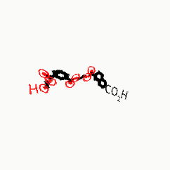 O=C(O)c1ccc2cc(C(=O)OCCOC(=O)c3cccc(C(=O)OCCO)c3)ccc2c1